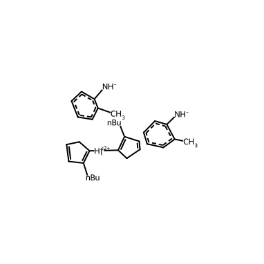 CCCCC1=[C]([Hf+2][C]2=C(CCCC)C=CC2)CC=C1.Cc1ccccc1[NH-].Cc1ccccc1[NH-]